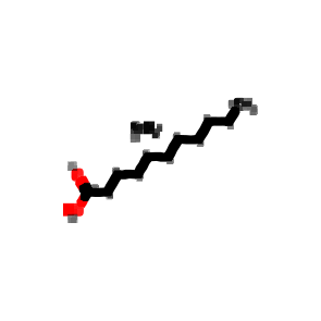 CCCCCCCCCCC(=O)O.[SnH2]